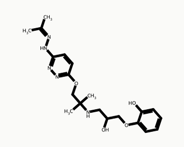 CC(C)=NNc1ccc(OCC(C)(C)NCC(O)COc2ccccc2O)nn1